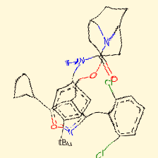 CC(C)(C)c1ccc(NC(=O)N2C3CCC2CC(OCc2c(-c4c(Cl)cccc4Cl)noc2C2CC2)C3)cc1